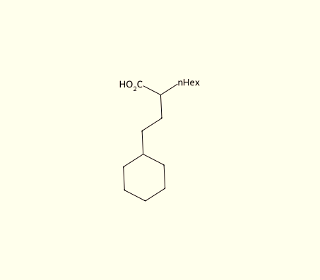 CCCCCCC(CCC1CCCCC1)C(=O)O